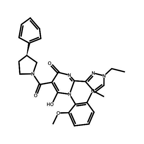 CCn1ccc(-c2nc(=O)c(C(=O)N3CC[C@@H](c4ccccc4)C3)c(O)n2-c2c(OC)cccc2OC)n1